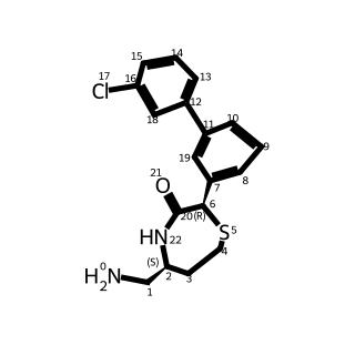 NC[C@@H]1CCS[C@H](c2cccc(-c3cccc(Cl)c3)c2)C(=O)N1